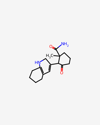 CC1(C(N)=O)CCCC(=O)C1C1=CC2=C(CCCC2)NC1